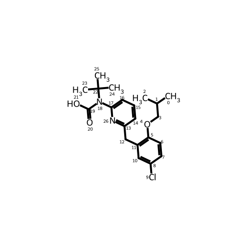 CC(C)COc1ccc(Cl)cc1Cc1cccc(N(C(=O)O)C(C)(C)C)n1